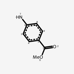 COC(=O)c1ccc([NH])cc1